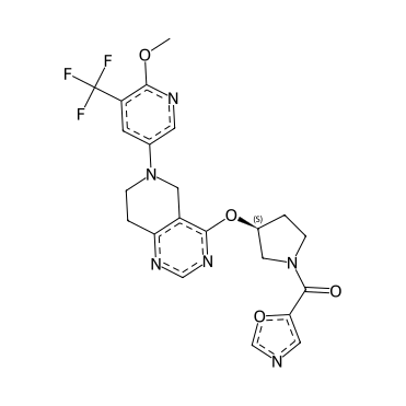 COc1ncc(N2CCc3ncnc(O[C@H]4CCN(C(=O)c5cnco5)C4)c3C2)cc1C(F)(F)F